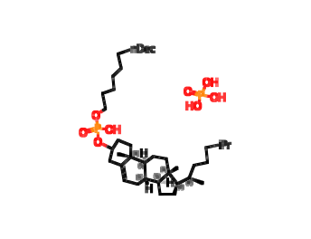 CCCCCCCCCCCCCCCCOP(=O)(O)OC1CC[C@@]2(C)C(=CC[C@H]3[C@@H]4CC[C@H]([C@H](C)CCCC(C)C)[C@@]4(C)CC[C@@H]32)C1.O=P(O)(O)O